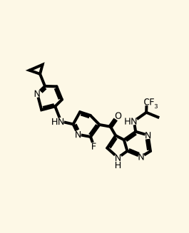 CC(Nc1ncnc2[nH]cc(C(=O)c3ccc(Nc4ccc(C5CC5)nc4)nc3F)c12)C(F)(F)F